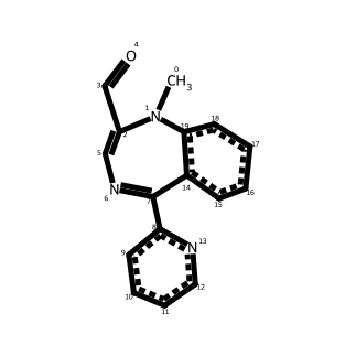 CN1C(C=O)=CN=C(c2ccccn2)c2ccccc21